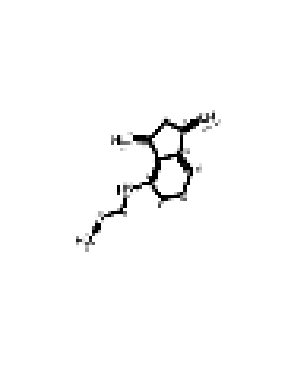 C=NCNC1=C2C(=C)CC(=C)C2=CCC1